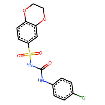 O=C(Nc1ccc(Cl)cc1)NS(=O)(=O)c1ccc2c(c1)OCCO2